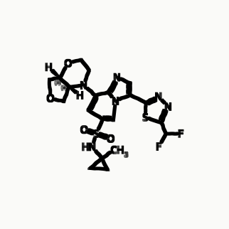 CC1(NS(=O)(=O)c2cc(N3CCO[C@H]4COC[C@H]43)c3ncc(-c4nnc(C(F)F)s4)n3c2)CC1